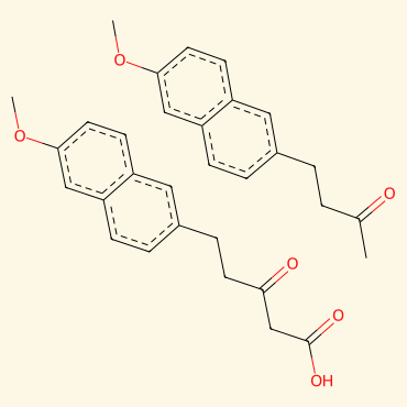 COc1ccc2cc(CCC(=O)CC(=O)O)ccc2c1.COc1ccc2cc(CCC(C)=O)ccc2c1